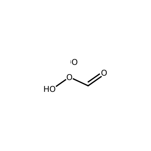 O=COO.[O]